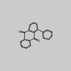 O=C1c2ccccc2C(=O)c2c1cccc2-c1ccccc1